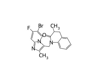 Cc1nc2cc(F)c(Br)cn2c1CN1C(=O)C(C)Cc2ccccc21